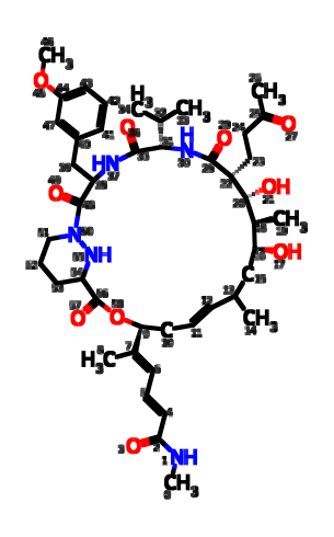 CNC(=O)/C=C/C=C(\C)[C@@H]1C/C=C/C(C)C[C@H](O)[C@H](C)[C@@H](O)[C@@H](CCC(C)=O)C(=O)N[C@@H](C(C)C)C(=O)NC(Cc2cccc(OC)c2)C(=O)N2CCCC(N2)C(=O)O1